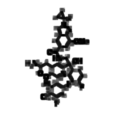 CCOc1c(CC(N)=O)cc([C@@](O)(CNC(=O)c2cc(OC)c3nn(C4(F)CC4)cc3c2)c2ccc(F)cc2)nc1-c1cc(Cl)c(F)cc1F